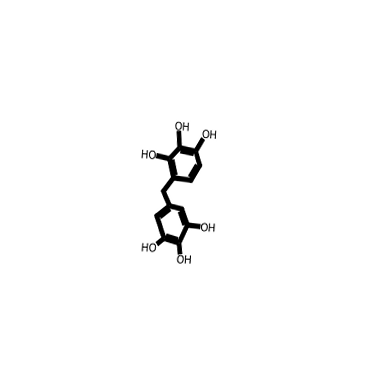 Oc1cc(Cc2ccc(O)c(O)c2O)cc(O)c1O